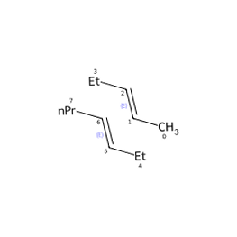 C/C=C/CC.CC/C=C/CCC